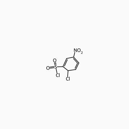 O=[N+]([O-])C1=C=CC(Cl)C(S(=O)(=O)Cl)=C1